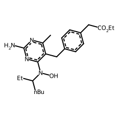 CCCCC(CC)N(O)c1nc(N)nc(C)c1Cc1ccc(CC(=O)OCC)cc1